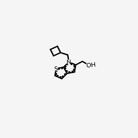 OCc1cc2ccsc2n1CC1CCC1